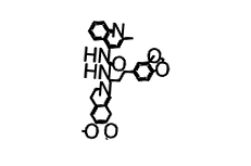 COC1=C(OC)CC2=CN(C(CCc3ccc4c(c3)OCO4)NC(=O)Nc3cc(C)nc4ccccc34)CCC2=C1